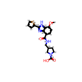 COc1ccc(C(=O)NCC2CCN(C(=O)O)C2)c2nc(-c3cccs3)[nH]c12